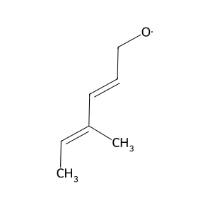 C/C=C(C)/C=C/C[O]